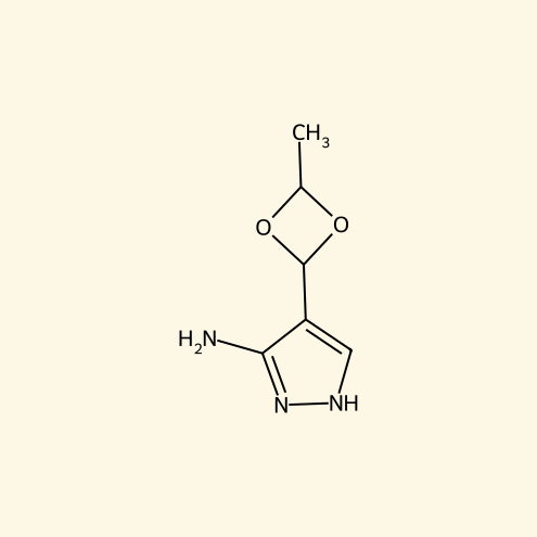 CC1OC(c2c[nH]nc2N)O1